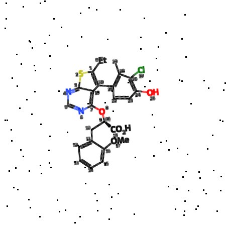 CCc1sc2ncnc(O[C@H](Cc3ccccc3OC)C(=O)O)c2c1-c1ccc(O)c(Cl)c1C